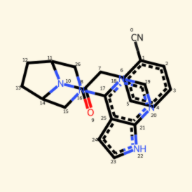 N#Cc1ccccc1CC(=O)N1C2CCC1CN(c1ncnc3[nH]ccc13)C2